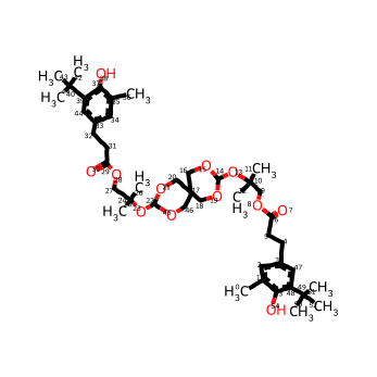 Cc1cc(CCC(=O)OCC(C)(C)OC2OCC3(CO2)COC(OC(C)(C)COC(=O)CCc2cc(C)c(O)c(C(C)(C)C)c2)OC3)cc(C(C)(C)C)c1O